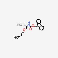 C#CCCCOC[C@H](NC(=O)OCC1c2ccccc2-c2ccccc21)C(=O)O